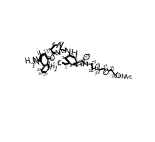 C=Cc1cc(Nc2nccc(Oc3ccc(N)c4ccccc34)n2)cc(C(=O)NCCOCCOCCOC)c1